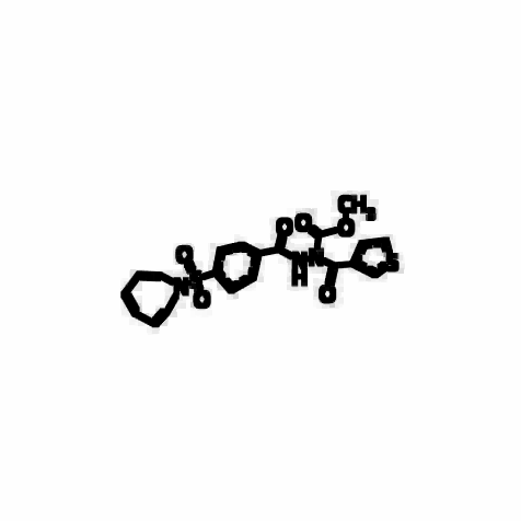 COC(=O)N(NC(=O)c1ccc(S(=O)(=O)N2C=CC=CC=C2)cc1)C(=O)c1ccsc1